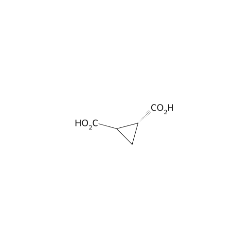 O=C(O)C1C[C@H]1C(=O)O